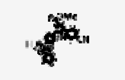 COC(=O)c1cc2c([nH]c3cc(C#N)ccc32)c(-c2ccc(N(C)S(=O)(=O)c3ccccc3)cc2)n1